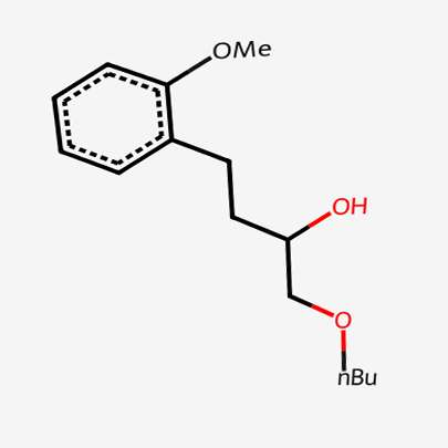 CCCCOCC(O)CCc1ccccc1OC